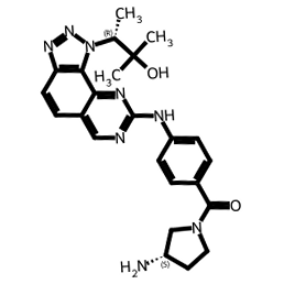 C[C@@H](n1nnc2ccc3cnc(Nc4ccc(C(=O)N5CC[C@H](N)C5)cc4)nc3c21)C(C)(C)O